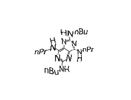 CCCCNc1nc(NCCC)c2nc(NCCCC)nc(NCCC)c2n1